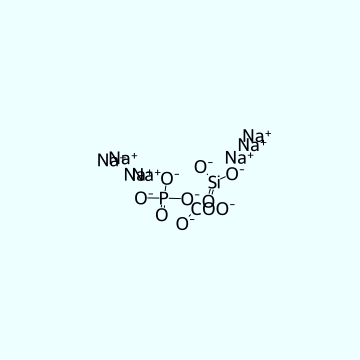 O=C([O-])[O-].O=P([O-])([O-])[O-].O=[Si]([O-])[O-].[Na+].[Na+].[Na+].[Na+].[Na+].[Na+].[Na+]